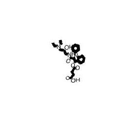 CCN(CC)CC(O)CNC(=O)c1c(OC(=O)CCC(=O)O)c2ccccc2n1-c1ccccc1